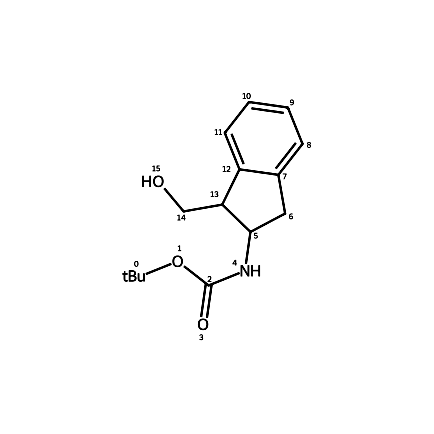 CC(C)(C)OC(=O)NC1Cc2ccccc2C1CO